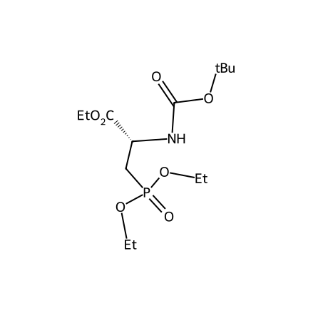 CCOC(=O)[C@@H](CP(=O)(OCC)OCC)NC(=O)OC(C)(C)C